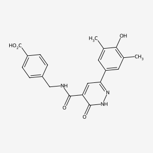 Cc1cc(-c2cc(C(=O)NCc3ccc(C(=O)O)cc3)c(=O)[nH]n2)cc(C)c1O